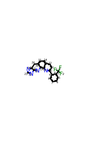 FC(F)(F)c1ccccc1-c1ccc2ccc3c(c2n1)N=C1N=CN=C1C3